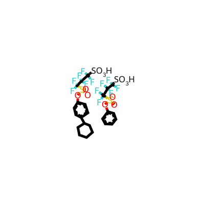 O=S(=O)(O)C(F)(F)C(F)(F)C(F)(F)S(=O)(=O)Oc1ccc(C2CCCCC2)cc1.O=S(=O)(O)C(F)(F)C(F)(F)C(F)(F)S(=O)(=O)Oc1ccccc1